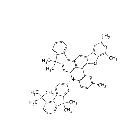 Cc1ccc(N(c2ccc3c(c2)C(C)(C)c2ccccc2-3)c2ccc3c(c2)C(C)(C)c2cccc(C(C)(C)C)c2-3)c(-c2cccc3c2oc2c(C)cc(C)cc23)c1